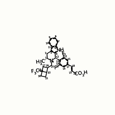 C[C@@H]1Cc2c([nH]c3ccccc23)[C@@H](c2c(F)cc(/C=C/C(=O)O)cc2F)N1CC1CC2(C(F)(F)F)CCC12